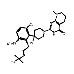 COc1ccc(Cl)c(C2(C(C)=O)CCN(c3nc4c(c(=O)[nH]3)CCCN4C)CC2)c1CCCC(C)(C)O